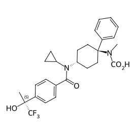 CN(C(=O)O)[C@]1(c2ccccc2)CC[C@@H](N(C(=O)c2ccc([C@](C)(O)C(F)(F)F)cc2)C2CC2)CC1